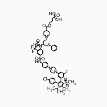 Cc1c(S(C)(=O)=O)c(-c2cc(F)cc(N3CCN(c4ccc(NS(=O)(=O)c5ccc(N(C(CCN6CCC(C(=O)OCCCP(=O)(O)O)CC6)CSc6ccccc6)[SH](=O)=O)c(C(F)(F)F)c5)cc4)CC3)c2)c(-c2ccc(Cl)cc2)n1C(C)C